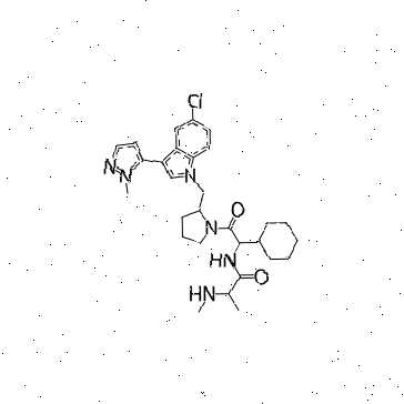 CNC(C)C(=O)NC(C(=O)N1CCCC1Cn1cc(-c2ccnn2C)c2cc(Cl)ccc21)C1CCCCC1